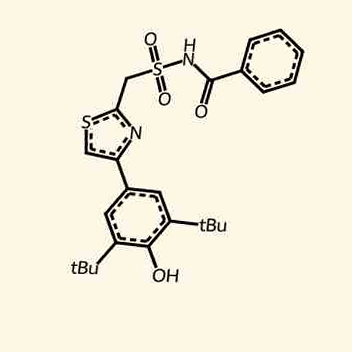 CC(C)(C)c1cc(-c2csc(CS(=O)(=O)NC(=O)c3ccccc3)n2)cc(C(C)(C)C)c1O